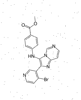 COC(=O)c1ccc(Nc2c(-c3cnccc3Br)nc3ccncn23)cc1